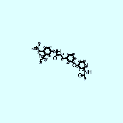 CC(=O)Nc1cc(Oc2cccc(CCC(=O)Nc3ccc(CN(C)C)c(C(F)(F)F)c3)c2)ccn1